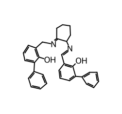 Oc1c(/C=N/C2CCCC/C2=N\Cc2cccc(-c3ccccc3)c2O)cccc1-c1ccccc1